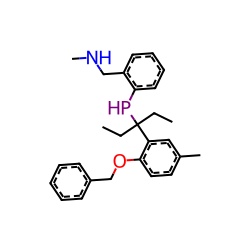 CCC(CC)(Pc1ccccc1CNC)c1cc(C)ccc1OCc1ccccc1